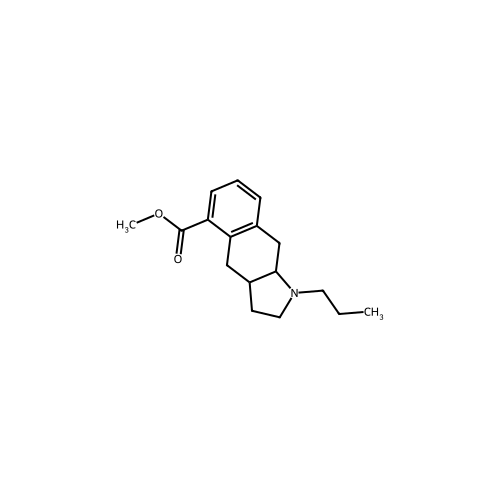 CCCN1CCC2Cc3c(cccc3C(=O)OC)CC21